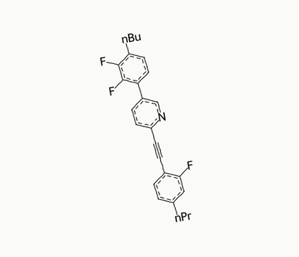 CCCCc1ccc(-c2ccc(C#Cc3ccc(CCC)cc3F)nc2)c(F)c1F